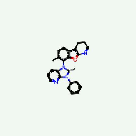 Cc1ccc2c3c(oc2c1N1c2cccnc2N(c2ccccc2)[C@@H]1C)N=CCC3